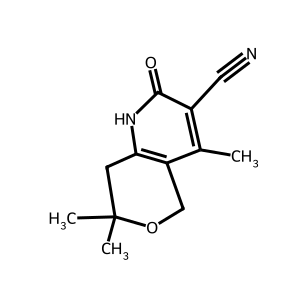 Cc1c2c([nH]c(=O)c1C#N)CC(C)(C)OC2